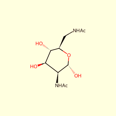 CC(=O)NC[C@H]1O[C@H](O)[C@@H](NC(C)=O)[C@@H](O)[C@@H]1O